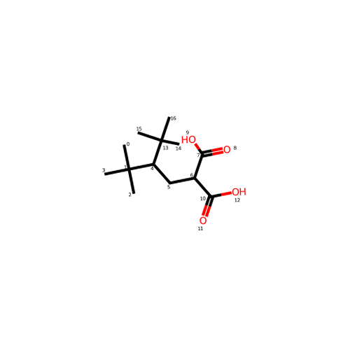 CC(C)(C)C(CC(C(=O)O)C(=O)O)C(C)(C)C